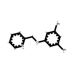 CC(C)c1[c]c(C(C)C)cc(OCc2ccccn2)c1